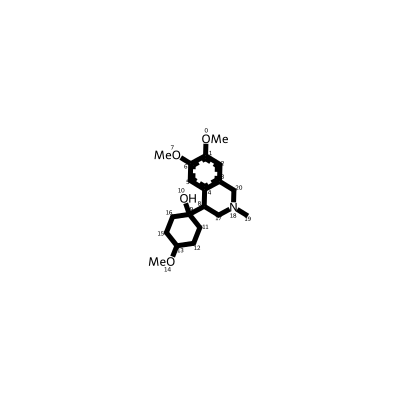 COc1cc2c(cc1OC)C(C1(O)CCC(OC)CC1)CN(C)C2